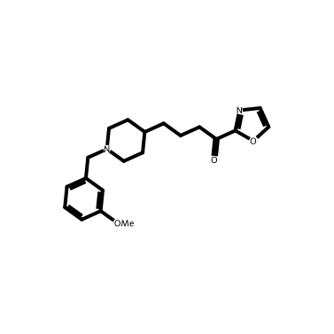 COc1cccc(CN2CCC(CCCC(=O)c3ncco3)CC2)c1